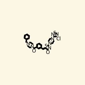 O=C1N=C(N2CCN(c3nsnc3Cl)CC2)SC1=Cc1cccc(C(=O)N2CCN(Cc3ccccc3)CC2)c1